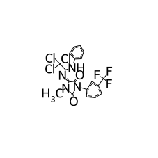 CN1C(=O)N(c2cccc(C(F)(F)F)c2)C(=O)C1=NC(Nc1ccccc1)C(Cl)(Cl)Cl